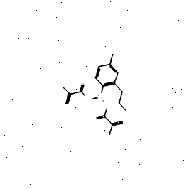 C=C(C)C(=O)ON(OC(=O)C(=C)C)c1ccc(C)cc1CCC